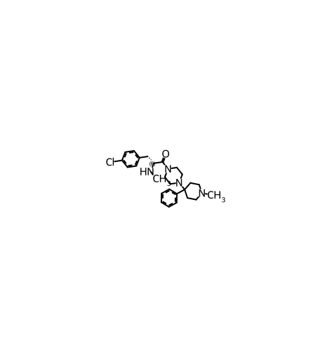 CN[C@H](Cc1ccc(Cl)cc1)C(=O)N1CCN(C2(c3ccccc3)CCN(C)CC2)CC1